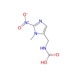 Cn1c(CNC(=O)O)cnc1[N+](=O)[O-]